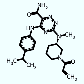 C=CC(=O)N1CCC[C@@H](N(C)c2nnc(C(N)=O)c(Nc3ccc(C(C)C)cc3)n2)C1